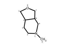 CN1CCC2COCC2C1